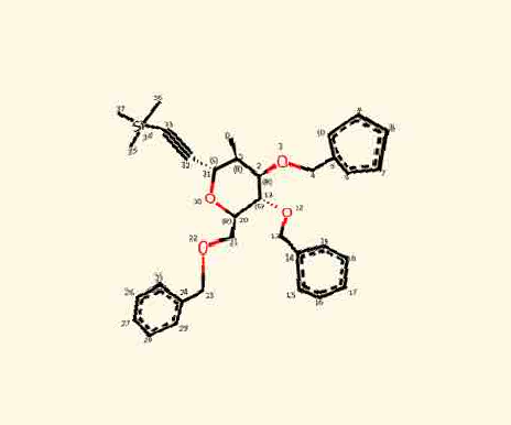 C[C@H]1[C@@H](OCc2ccccc2)[C@H](OCc2ccccc2)[C@@H](COCc2ccccc2)O[C@@H]1C#C[Si](C)(C)C